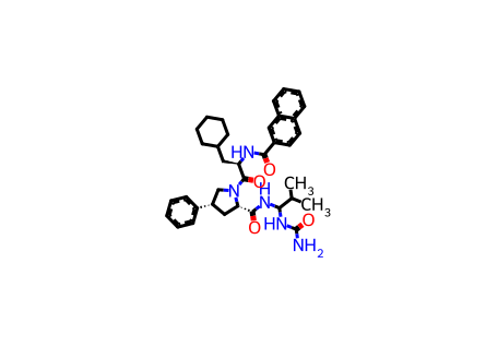 CC(C)C(NC(N)=O)NC(=O)[C@@H]1C[C@H](c2ccccc2)CN1C(=O)[C@@H](CC1CCCCC1)NC(=O)c1ccc2ccccc2c1